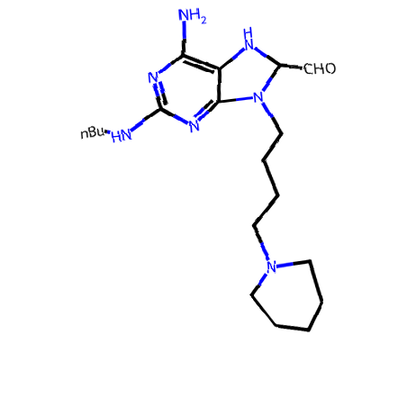 CCCCNc1nc(N)c2c(n1)N(CCCCN1CCCCC1)C(C=O)N2